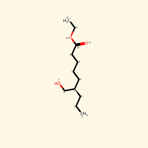 CCC[C@@H](CO)CCCCC(=O)OCC